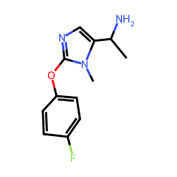 CC(N)c1cnc(Oc2ccc(F)cc2)n1C